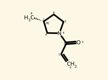 C=CC(=O)N1CC[C@@H](C)C1